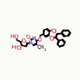 Cc1cn(C2CC(O)C(CO)O2)c(=O)nc1OCc1ccc(OC(C(=O)c2ccccc2)c2ccccc2)cc1